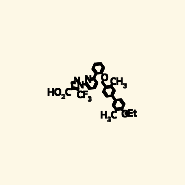 CCOc1ccc(-c2ccc(COc3ccccc3-c3cccc(-n4ncc(C(=O)O)c4C(F)(F)F)n3)c(C)c2)cc1C